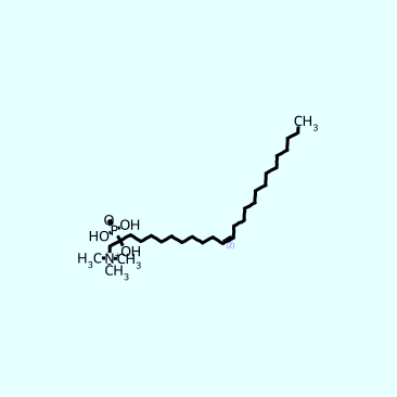 CCCCCCCCCCCCC/C=C\CCCCCCCCCC(O)(C[N+](C)(C)C)P(=O)(O)O